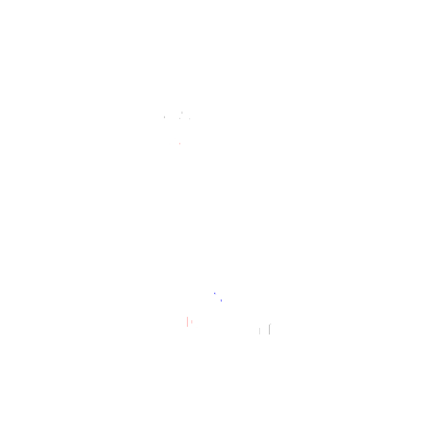 CCCC(CC1CCc2c(cccc2OOC(C)=O)C1)=NO